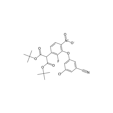 CC(C)(C)OC(=O)C(C(=O)OC(C)(C)C)c1ccc([N+](=O)[O-])c(Oc2cc(Cl)cc(C#N)c2)c1F